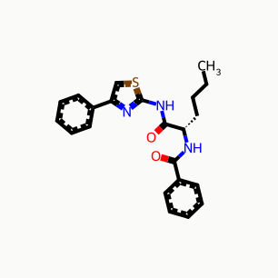 CCCC[C@H](NC(=O)c1ccccc1)C(=O)Nc1nc(-c2ccccc2)cs1